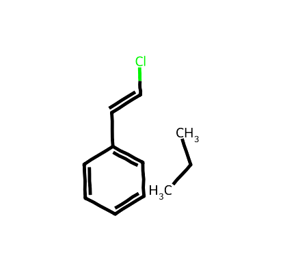 CCC.ClC=Cc1ccccc1